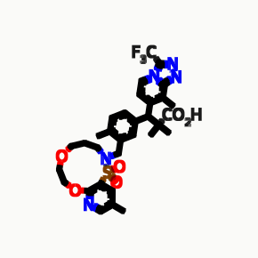 Cc1cnc2c(c1)S(=O)(=O)N(Cc1cc(C(c3ccn4c(C(F)(F)F)nnc4c3C)C(C)(C)C(=O)O)ccc1C)CCCOCCO2